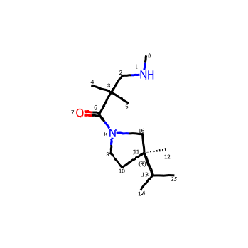 CNCC(C)(C)C(=O)N1CC[C@](C)(C(C)C)C1